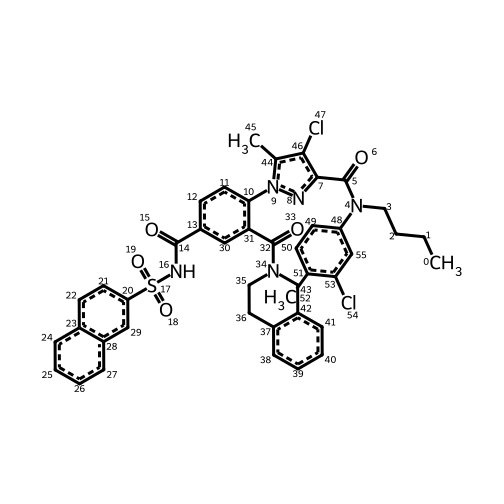 CCCCN(C(=O)c1nn(-c2ccc(C(=O)NS(=O)(=O)c3ccc4ccccc4c3)cc2C(=O)N2CCc3ccccc3C2)c(C)c1Cl)c1ccc(C)c(Cl)c1